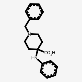 O=C(O)C1(Nc2ccccc2)CCN(Cc2ccccc2)CC1